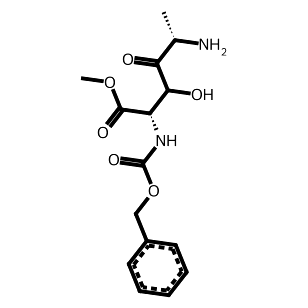 COC(=O)[C@@H](NC(=O)OCc1ccccc1)C(O)C(=O)[C@H](C)N